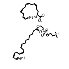 CCCCC/C=C\C/C=C\C/C=C\C/C=C\CCCC(=O)OC[C@H](COP(=O)([O-])OCC[N+](C)(C)C)OC(=O)CCCCCC/C=C\C/C=C\C/C=C\CCCCC